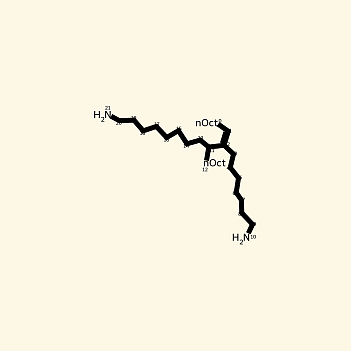 CCCCCCCC/C=C(/CCCCCCCN)C(CCCCCCCC)CCCCCCCCN